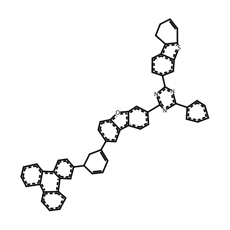 C1=CC(c2ccc3c4ccccc4c4ccccc4c3c2)CC(c2ccc3oc4cc(-c5nc(-c6ccccc6)nc(-c6ccc7c8c(sc7c6)C=CCC8)n5)ccc4c3c2)=C1